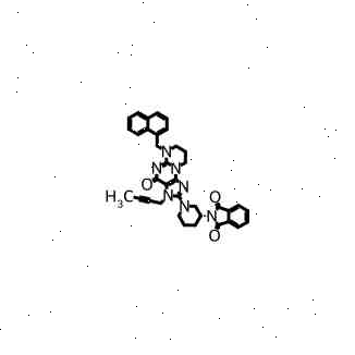 CC#CCn1c(N2CCC[C@@H](N3C(=O)c4ccccc4C3=O)C2)nc2c1c(=O)nc1n2CCCN1Cc1cccc2ccccc12